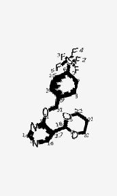 FS(F)(F)(F)(F)c1ccc(COc2ncncc2C2OCCCO2)cc1